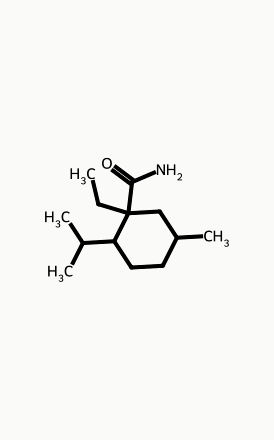 CCC1(C(N)=O)CC(C)CCC1C(C)C